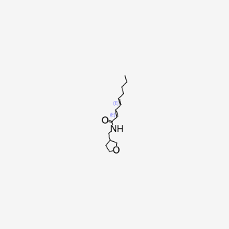 CCCC/C=C/C=C/C(=O)NCC1CCOC1